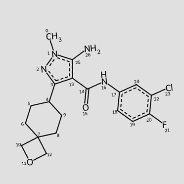 Cn1nc(C2CCC3(CC2)COC3)c(C(=O)Nc2ccc(F)c(Cl)c2)c1N